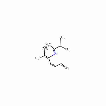 C=C/C=C\C(/N=C(\C)C(C)C)=C(C)C